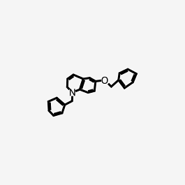 C1=Cc2cc(OCc3ccccc3)ccc2N(Cc2ccccc2)C1